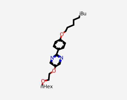 CCCCCCOCCOc1cnc(-c2ccc(OCCCCCC(C)CC)cc2)nc1